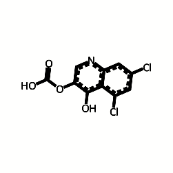 O=C(O)Oc1cnc2cc(Cl)cc(Cl)c2c1O